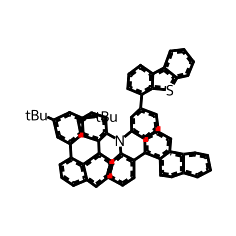 CC(C)(C)c1cc(-c2cccc3cccc(-c4ccccc4N(c4cccc(-c5cccc6c5sc5ccccc56)c4)c4ccccc4-c4cccc5c4ccc4ccccc45)c23)cc(C(C)(C)C)c1